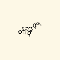 Cc1cnc(C2CC3CSC(NC(=O)c4ccccc4)=NC3(c3ccc(F)cc3F)CO2)cn1